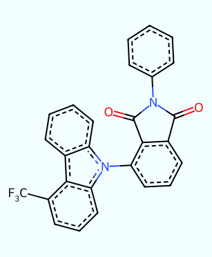 O=C1c2cccc(-n3c4ccccc4c4c(C(F)(F)F)cccc43)c2C(=O)N1c1ccccc1